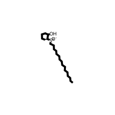 CCCCCCCCCCCCCCCC[S@@+]([O-])[C@H]1CCCCC1O